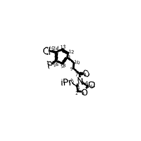 CC(C)[C@@H]1COC(=O)N1C(=O)CCc1ccc(Cl)c(F)c1